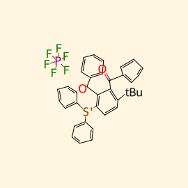 CC(C)(C)c1ccc([S+](c2ccccc2)c2ccccc2)c(C(=O)c2ccccc2)c1C(=O)c1ccccc1.F[P-](F)(F)(F)(F)F